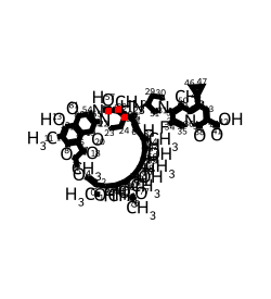 CO[C@H]1/C=C/O[C@@]2(C)Oc3c(C)c(O)c4c(c3C2=O)C(=O)C(N2CCC(CN[C@H]3CCN(c5c(F)cn6c(=O)c(C(=O)O)cc(C7CC7)c6c5C)C3)CC2)=C(NC(=O)/C(C)=C\C=C\[C@H](C)[C@H](O)[C@@H](C)[C@@H](O)[C@@H](C)[C@H](OC(C)=O)[C@@H]1C)C4=O